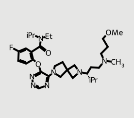 CCN(C(=O)c1cc(F)ccc1Oc1nncnc1N1CCC2(C1)CN([C@H](CCN(C)CCCOC)C(C)C)C2)C(C)C